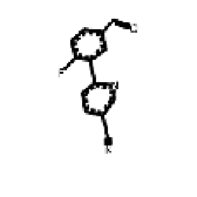 N#Cc1ccc(-c2cc(C=O)ccc2F)nc1